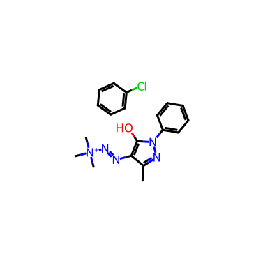 Cc1nn(-c2ccccc2)c(O)c1N=N[N+](C)(C)C.Clc1ccccc1